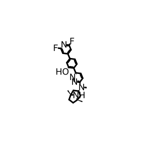 CN(c1ccc(-c2ccc(-c3cc(F)nc(F)c3)cc2O)nn1)C1C[C@]2(C)CC[C@](C)(C1)N2